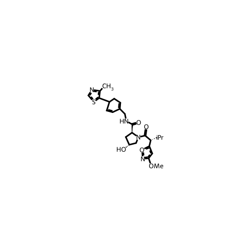 COc1cc([C@H](C(=O)N2C[C@H](O)C[C@H]2C(=O)NCC2=CCC(c3scnc3C)C=C2)C(C)C)on1